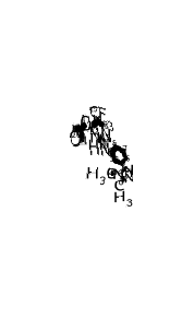 Cc1nnc([C@H]2CCC[C@@H](Nc3ncc(C(F)(F)F)c(OC4COC4)n3)C2)n1C